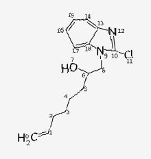 C=CCCCCC(O)Cn1c(Cl)nc2ccccc21